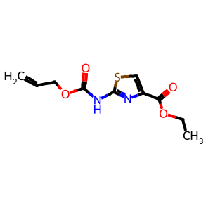 C=CCOC(=O)Nc1nc(C(=O)OCC)cs1